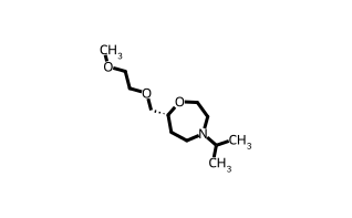 COCCOC[C@H]1CCN(C(C)C)CCO1